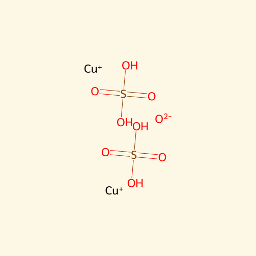 O=S(=O)(O)O.O=S(=O)(O)O.[Cu+].[Cu+].[O-2]